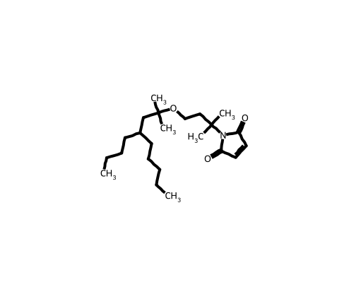 CCCCCC(CCCC)CC(C)(C)OCCC(C)(C)N1C(=O)C=CC1=O